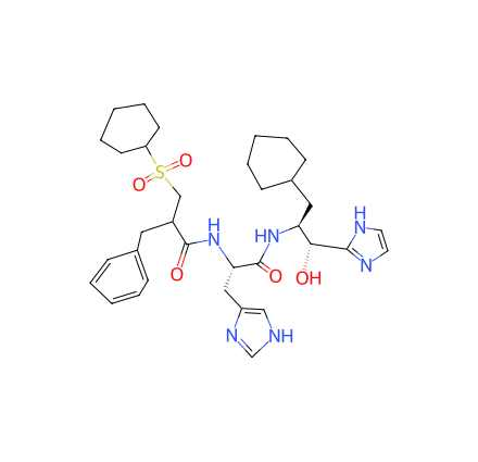 O=C(N[C@@H](Cc1c[nH]cn1)C(=O)N[C@@H](CC1CCCCC1)[C@@H](O)c1ncc[nH]1)C(Cc1ccccc1)CS(=O)(=O)C1CCCCC1